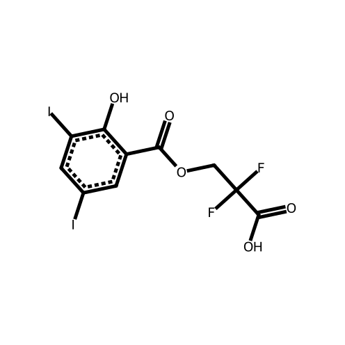 O=C(OCC(F)(F)C(=O)O)c1cc(I)cc(I)c1O